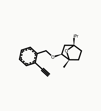 C#Cc1ccccc1CO[C@H]1C[C@]2(C(C)C)CC[C@@]1(C)O2